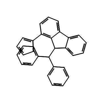 C1=CCC(c2cccc3c2C(C(c2ccccc2)c2ccccc2)c2ccccc2-3)=C1